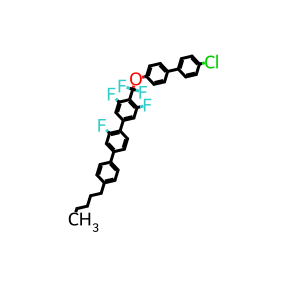 CCCCCc1ccc(-c2ccc(-c3cc(F)c(C(F)(F)Oc4ccc(-c5ccc(Cl)cc5)cc4)c(F)c3)c(F)c2)cc1